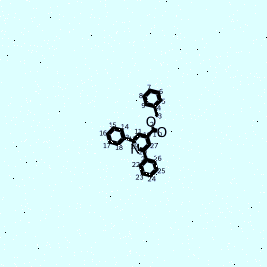 O=C(OCc1ccccc1)c1cc(-c2ccccc2)nc(-c2ccccc2)c1